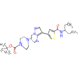 CCC(CC)NC(=O)c1cc(-c2cnn3cc(N4CCN(C(=O)OC(C)(C)C)CC4)cnc23)cs1